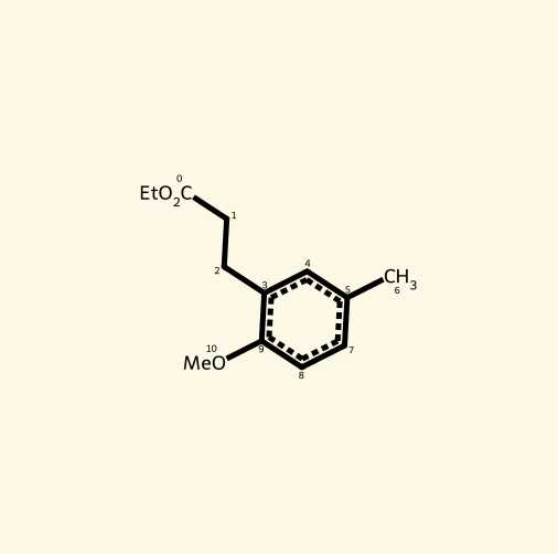 CCOC(=O)CCc1cc(C)ccc1OC